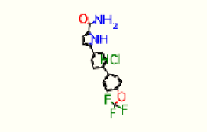 Cl.NC(=O)c1ccc(-c2ccc(-c3ccc(OC(F)(F)F)cc3)cc2)[nH]1